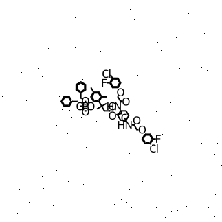 Cc1cc(C)c(C(C)(C)CC(=O)OC2CC3(NC(=O)COc4ccc(Cl)c(F)c4)CCC2(NC(=O)COc2ccc(Cl)c(F)c2)CC3)c(OP(=O)(OCc2ccccc2)OCc2ccccc2)c1